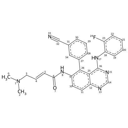 CN(C)C/C=C/C(=O)Nc1ccc2ncnc(Nc3ccccc3F)c2c1-c1cccc(C#N)c1